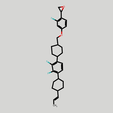 C/C=C/C1CCC(c2ccc(C3CCC(COc4ccc(C5CO5)c(F)c4)CC3)c(F)c2F)CC1